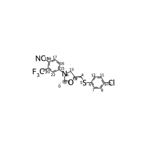 C[C@H]1O[C@H](CSc2ccc(Cl)cc2)CN1c1ccc(C#N)c(C(F)(F)F)c1